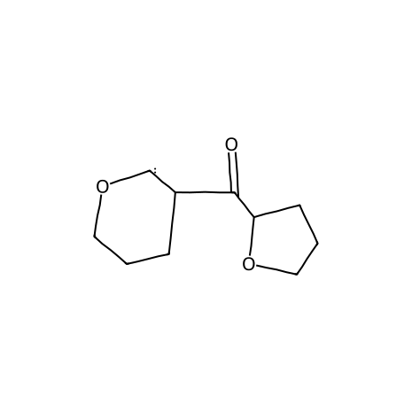 O=C(C1[C]OCCC1)C1CCCO1